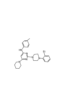 CCc1ccccc1N1CCN(c2nc(Nc3ccc(C)cc3)cc(N3CCCCC3)n2)CC1